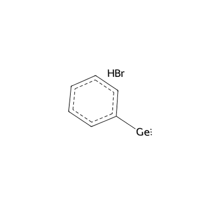 Br.[Ge][c]1ccccc1